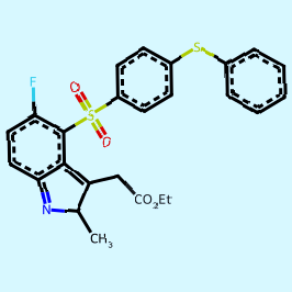 CCOC(=O)CC1=c2c(S(=O)(=O)c3ccc(Sc4ccccc4)cc3)c(F)ccc2=NC1C